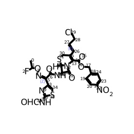 CC(F)O/N=C(\C(=O)N[C@@H]1C(=O)N2C(C(=O)OCc3ccc([N+](=O)[O-])cc3)=C(/C=C/CCl)CS[C@@H]12)c1csc(NC=O)n1